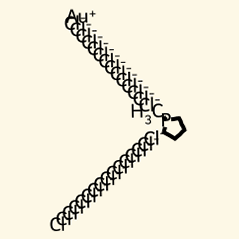 CP1CCCC1.[Au+].[Cl-].[Cl-].[Cl-].[Cl-].[Cl-].[Cl-].[Cl-].[Cl-].[Cl-].[Cl-].[Cl-].[Cl-].[Cl-].[Cl-].[Cl-].[Cl-].[Cl-].[Cl-].[Cl-].[Cl-].[Cl-].[Cl-].[Cl-].[Cl-].[Cl-].[Cl-].[Cl-].[Cl-].[Cl-].[Cl-]